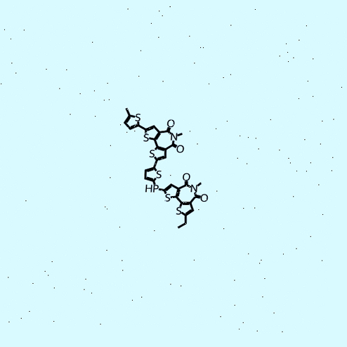 CCc1cc2c(=O)n(C)c(=O)c3cc(Pc4ccc(-c5cc6c(=O)n(C)c(=O)c7cc(-c8ccc(C)s8)sc7c6s5)s4)sc3c2s1